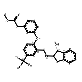 COC(=O)Cc1cccc(Oc2ccc(C(F)(F)F)cc2CNC2Cc3ccccc3[C@H]2O)c1